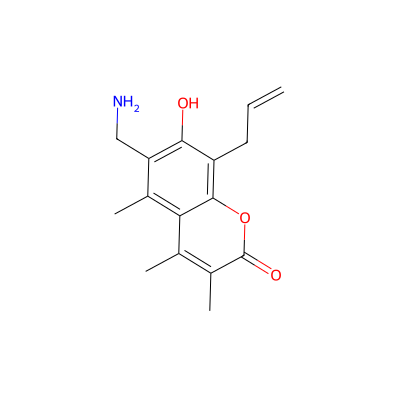 C=CCc1c(O)c(CN)c(C)c2c(C)c(C)c(=O)oc12